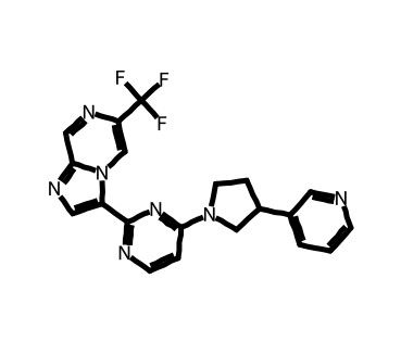 FC(F)(F)c1cn2c(-c3nccc(N4CCC(c5cccnc5)C4)n3)cnc2cn1